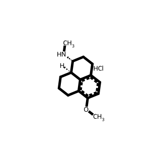 CN[C@@H]1CCc2ccc(OC)c3c2[C@H]1CCC3.Cl